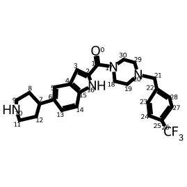 O=C(c1cc2cc(C3CCNCC3)ccc2[nH]1)N1CCN(Cc2ccc(C(F)(F)F)cc2)CC1